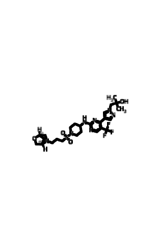 CC(C)(O)Cn1cc(-c2nc(NC3CCN(S(=O)(=O)CCCN4C[C@@H]5C[C@H]4CO5)CC3)ncc2C(F)(F)F)cn1